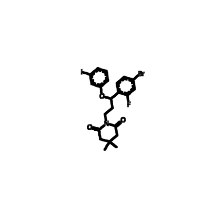 CC1(C)CC(=O)N(CCC(Oc2cccc(I)c2)c2ccc(Br)cc2F)C(=O)C1